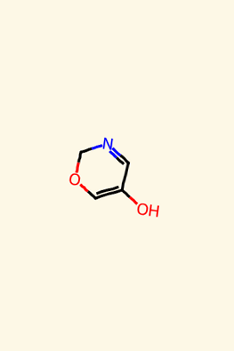 OC1=COCN=C1